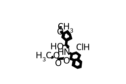 CCOC(=O)COC1c2ccccc2CCC1NC[C@@H](O)c1cccc(OC)c1.Cl